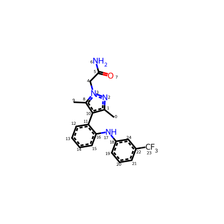 Cc1nn(CC(N)=O)c(C)c1-c1ccccc1Nc1cccc(C(F)(F)F)c1